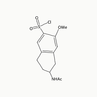 COc1cc2c(cc1S(=O)(=O)Cl)CCC(NC(C)=O)C2